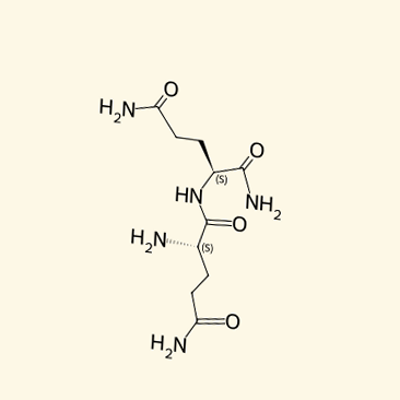 NC(=O)CC[C@H](NC(=O)[C@@H](N)CCC(N)=O)C(N)=O